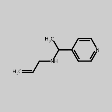 C=CCNC(C)c1ccncc1